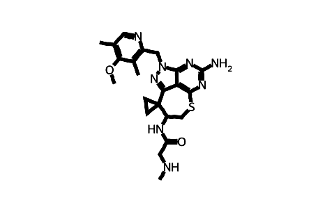 CNCC(=O)NC1CSc2nc(N)nc3c2c(nn3Cc2ncc(C)c(OC)c2C)C12CC2